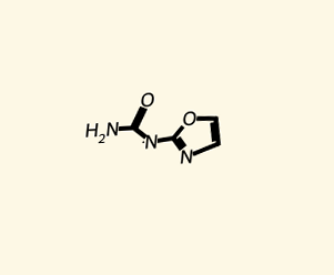 NC(=O)[N]c1ncco1